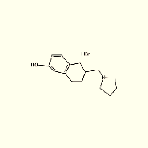 Br.Oc1ccc2c(c1)CCC(CN1CCCC1)C2